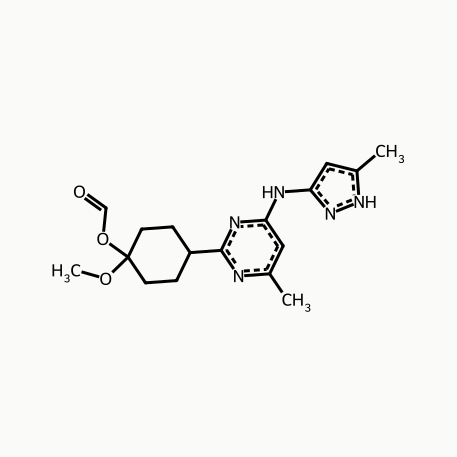 COC1(OC=O)CCC(c2nc(C)cc(Nc3cc(C)[nH]n3)n2)CC1